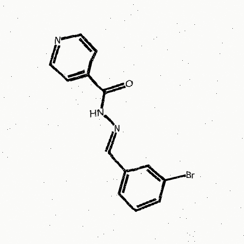 O=C(N/N=C/c1cccc(Br)c1)c1ccncc1